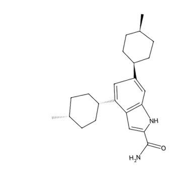 C[C@H]1CC[C@@H](c2cc3[nH]c(C(N)=O)cc3c([C@H]3CC[C@@H](C)CC3)c2)CC1